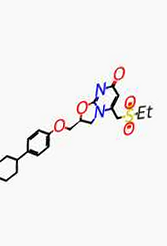 CCS(=O)(=O)Cc1cc(=O)nc2n1C[C@@H](COc1ccc(C3CCCCC3)cc1)O2